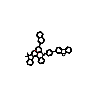 CC1(C)c2ccccc2-c2c(-c3ccccc3N(c3ccc(-c4ccc5c(c4)oc4ccccc45)cc3)c3cccc(-c4ccc5ccccc5c4)c3)cccc21